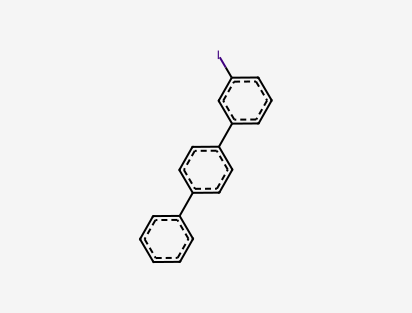 Ic1cccc(-c2ccc(-c3ccccc3)cc2)c1